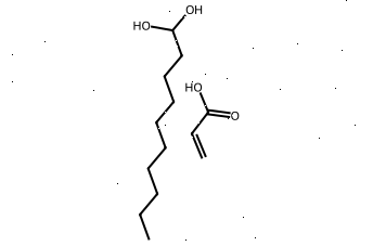 C=CC(=O)O.CCCCCCCCCC(O)O